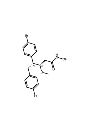 CO[C@H](CC(=O)NO)[C@H](Cc1ccc(Cl)cc1)c1ccc(Br)cc1